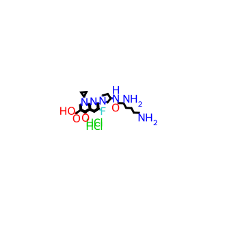 Cl.Cl.NCCCCC(N)C(=O)NC1CCN(c2nc3c(cc2F)c(=O)c(C(=O)O)cn3C2CC2)C1